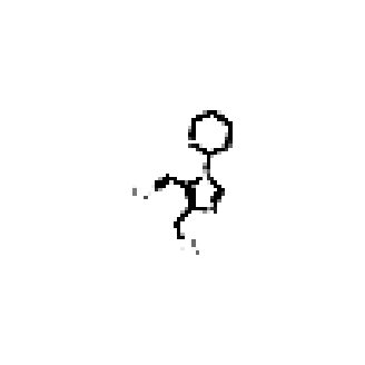 C=Cc1c(CC)ncn1C1CCCCO1